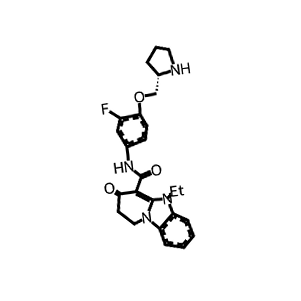 CCN1C2=C(C(=O)Nc3ccc(OC[C@@H]4CCCN4)c(F)c3)C(=O)CCN2c2ccccc21